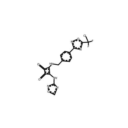 O=c1c(NCc2ccc(-c3noc(C(F)(F)Cl)n3)cc2)c(Nc2ncon2)c1=O